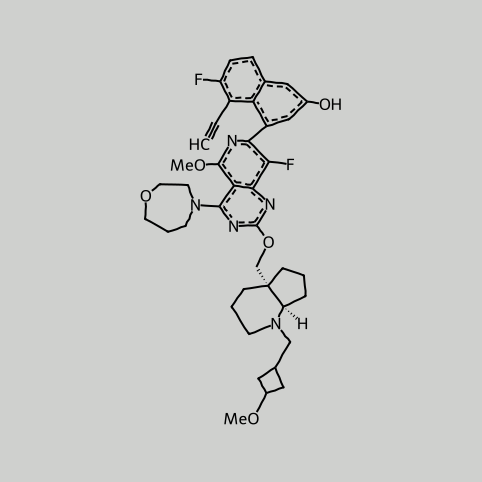 C#Cc1c(F)ccc2cc(O)cc(-c3nc(OC)c4c(N5CCCOCC5)nc(OC[C@]56CCC[C@H]5N(CC5CC(OC)C5)CCC6)nc4c3F)c12